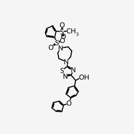 CS(=O)(=O)c1ccccc1S(=O)(=O)N1CCCN(c2nc(C(O)c3ccc(Oc4ccccc4)cc3)ns2)CC1